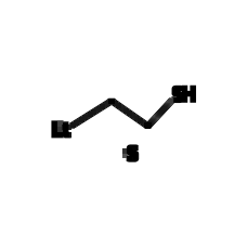 CCCCS.[S]